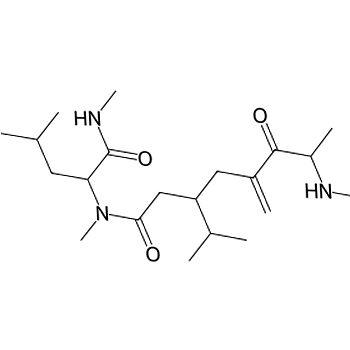 C=C(CC(CC(=O)N(C)C(CC(C)C)C(=O)NC)C(C)C)C(=O)C(C)NC